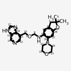 CC1(C)Cc2cc(NCOCc3cncc4[nH]cnc34)c(N3CCOCC3)cc2O1